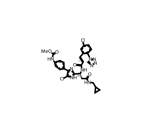 COC(=O)Nc1ccc(-c2nc([C@H](CC(=O)NCC3CC3)NC(=O)/C=C/c3cc(Cl)ccc3-n3cnnn3)[nH]c2Cl)cc1